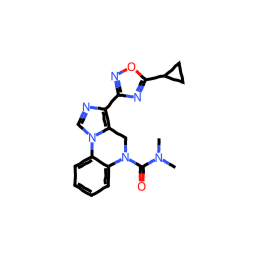 CN(C)C(=O)N1Cc2c(-c3noc(C4CC4)n3)ncn2-c2ccccc21